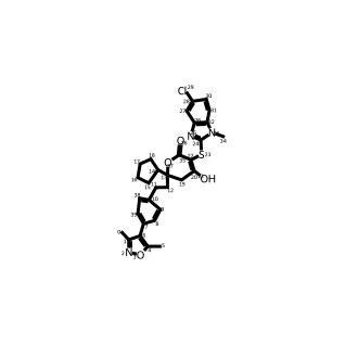 Cc1noc(C)c1-c1ccc(CCC2(C3CCCC3)CC(O)=C(Sc3nc4cc(Cl)ccc4n3C)C(=O)O2)cc1